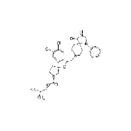 CC(C)COC(=O)N1CCC(OCCN2CCC3(CC2)C(=O)NCN3c2ccccc2)(c2ccc(Cl)c(Cl)c2)C1